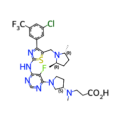 C[C@@H]1CC[C@@H](C)N1Cc1sc(Nc2ncnc(N3CC[C@H](N(C)CCC(=O)O)C3)c2F)nc1-c1cc(Cl)cc(C(F)(F)F)c1